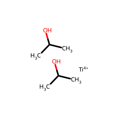 CC(C)O.CC(C)O.[Ti+4]